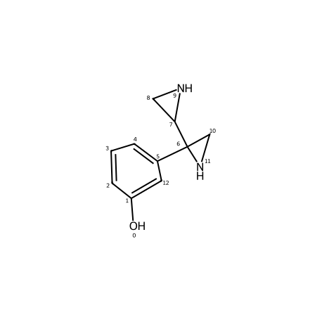 Oc1cccc(C2(C3CN3)CN2)c1